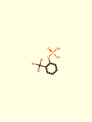 O=P(O)(O)Oc1ccccc1C(Br)(Br)Br